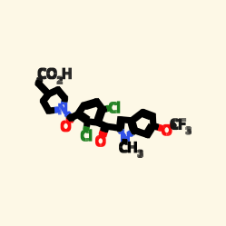 Cn1c(C(=O)c2c(Cl)ccc(C(=O)N3CCC(CC(=O)O)CC3)c2Cl)cc2ccc(OC(F)(F)F)cc21